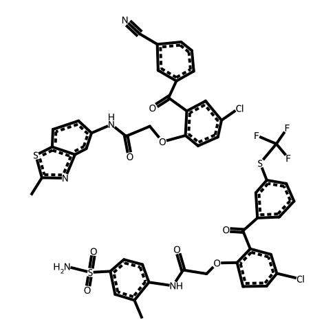 Cc1cc(S(N)(=O)=O)ccc1NC(=O)COc1ccc(Cl)cc1C(=O)c1cccc(SC(F)(F)F)c1.Cc1nc2cc(NC(=O)COc3ccc(Cl)cc3C(=O)c3cccc(C#N)c3)ccc2s1